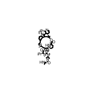 CCn1c(-c2cccnc2C(C)C)c2c3cc(ccc31)-c1csc(n1)C[C@H](NC(=O)[C@H](C(C)C)N(C)C(=O)N(C)C1CN(C(=O)[C@@H]3CN3)C1)C(=O)N1CCC[C@H](N1)C(=O)OCC(C)(C)C2